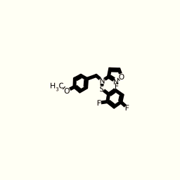 COc1ccc(CN(Sc2c(F)cc(F)cc2F)c2ccon2)cc1